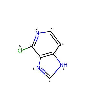 Clc1nc[c]c2[nH]cnc12